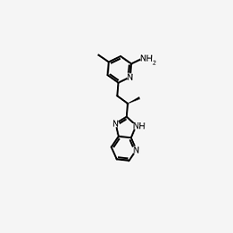 Cc1cc(N)nc(C[C@@H](C)c2nc3cccnc3[nH]2)c1